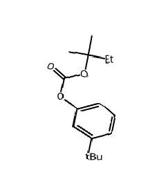 CCC(C)(C)OC(=O)Oc1cccc(C(C)(C)C)c1